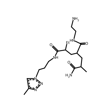 CCC(CC(CC(C)C(N)=O)C(=O)NCCN)C(=O)NCCCn1cc(C)nn1